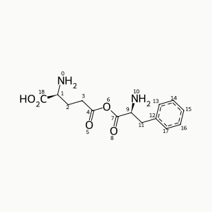 N[C@@H](CCC(=O)OC(=O)[C@@H](N)Cc1ccccc1)C(=O)O